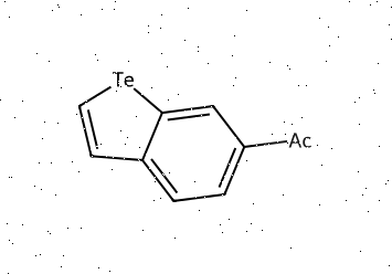 CC(=O)c1ccc2cc[te]c2c1